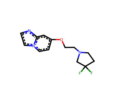 FC1(F)CCN(CCOc2ccn3ccnc3c2)C1